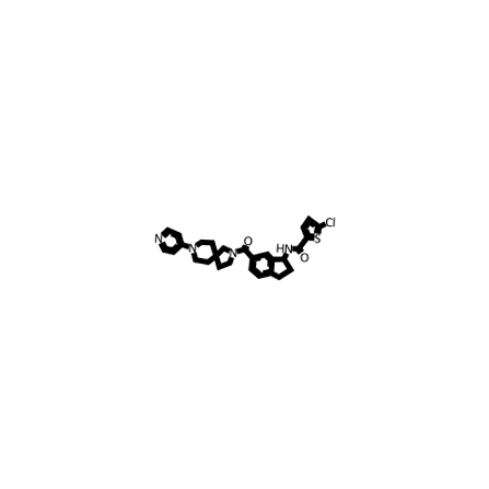 O=C(NC1CCc2ccc(C(=O)N3CCC4(CCN(c5ccncc5)CC4)C3)cc21)c1ccc(Cl)s1